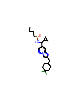 CCCC[S@+]([O-])NC(c1cnn2cc(CC3CCC(F)(F)CC3)nc2c1)C1CC1